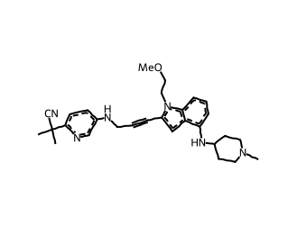 COCCn1c(C#CCNc2ccc(C(C)(C)C#N)nc2)cc2c(NC3CCN(C)CC3)cccc21